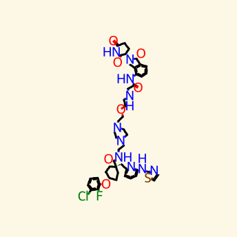 O=C1CCC(N2Cc3c(NC(=O)CNCCOCCN4CCN(CCNC(=O)[C@]5(Cc6cccc(Nc7nccs7)n6)CC[C@@H](Oc6cccc(Cl)c6F)CC5)CC4)cccc3C2=O)C(=O)N1